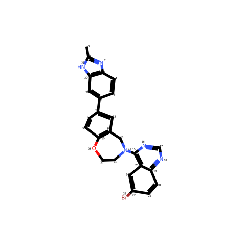 Cc1nc2ccc(-c3ccc4c(c3)CN(c3ncnc5ccc(Br)cc35)CCO4)cc2[nH]1